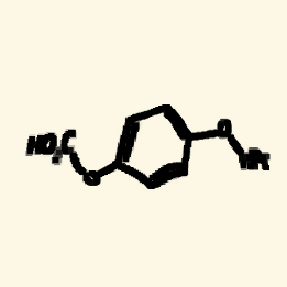 CCCOc1ccc(OC(=O)O)cc1